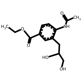 CCOC(=O)c1ccc(NC(C)=O)c(CC(O)CO)c1